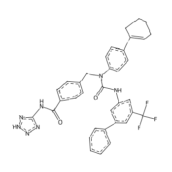 O=C(Nc1nn[nH]n1)c1ccc(CN(C(=O)Nc2cc(-c3ccccc3)cc(C(F)(F)F)c2)c2ccc(C3=CCCCC3)cc2)cc1